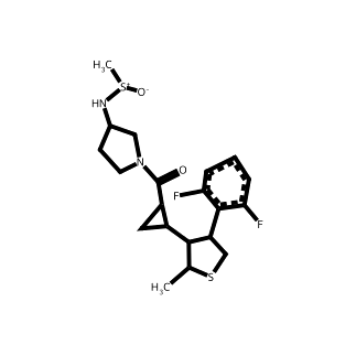 CC1SCC(c2c(F)cccc2F)C1C1CC1C(=O)N1CCC(N[S+](C)[O-])C1